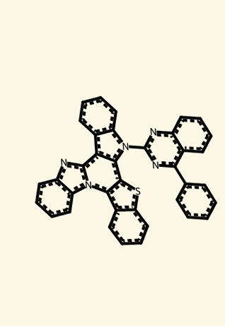 c1ccc(-c2nc(-n3c4ccccc4c4c3c3sc5ccccc5c3n3c5ccccc5nc43)nc3ccccc23)cc1